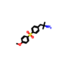 COc1ccc(S(=O)(=O)c2ccc(CC(C)(C)N)cc2)cc1